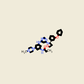 C=CC(=O)Nc1cc(Nc2cc(N3OCC[C@@H]3c3cccc(Oc4ccccc4)c3)ncn2)cc(N2CCN(C)CC2)c1